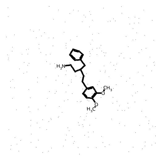 COc1ccc(CCC(CCN)Cc2ccccc2)cc1OC